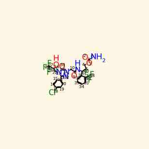 NC(=O)OCCC(NC(=O)Cn1nc(-c2ccc(Cl)cc2)n(C[C@H](O)C(F)(F)F)c1=O)c1ccccc1C(F)(F)F